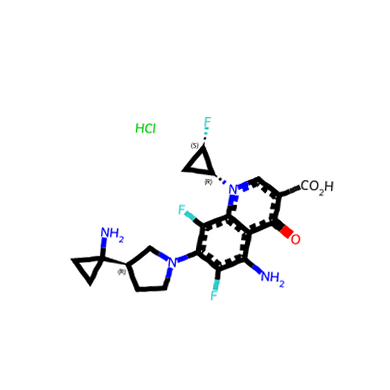 Cl.Nc1c(F)c(N2CC[C@@H](C3(N)CC3)C2)c(F)c2c1c(=O)c(C(=O)O)cn2[C@@H]1C[C@@H]1F